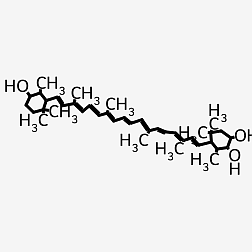 CC(/C=C/C=C(C)/C=C/C1C(C)C(O)CCC1(C)C)=C\C=C\C=C(C)\C=C\C=C(C)\C=C\C1C(C)C(O)C(O)CC1(C)C